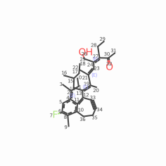 CC/C(C)=c1/cc(F)c(C)c2c1=C(/C(CC(C)CC)=C(C)/C(C)=C/C(CO)=C(/CC)C(C)=O)C#CCC2